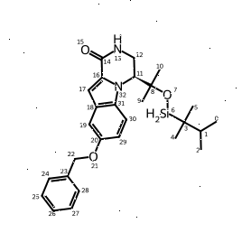 CC(C)C(C)(C)[SiH2]OC(C)(C)[C@@H]1CNC(=O)c2cc3cc(OCc4ccccc4)ccc3n21